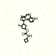 O=C(NC1CCC1)O[C@H]1C[C@@H](I)[C@@H](c2nnc3cnc4[nH]ccc4n23)C1